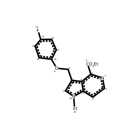 CCOC(=O)c1nccc2c1c(COc1ccc(F)cc1)cn2CC